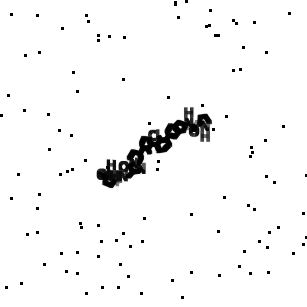 Cc1c(-c2ccn3c(=O)c(CNC[C@@H]4CCC(=O)N4)cnc3c2)cccc1-c1cccc(-c2ccc3c(c2)C[C@H](NC(=O)[C@@H]2CCCN2)C3)c1Cl